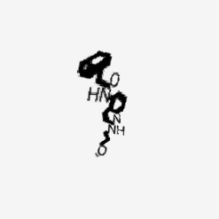 COCCCNc1ccc2c(NC(=O)CC34CC5CC(CC(C5)C3)C4)cccc2n1